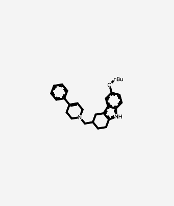 CCCCOc1ccc2[nH]c3c(c2c1)CC(CN1CC=C(c2ccccc2)CC1)CC3